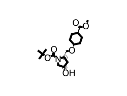 COC(=O)[C@H]1CC[C@H](OC[C@@H]2C[C@H](O)CN2C(=O)OC(C)(C)C)CC1